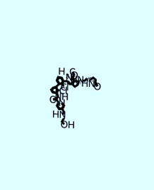 COc1nc(-c2cccc(-c3cccc(NC(=O)c4ccc(CNCCO)cn4)c3Cl)c2Cl)cc2c1[C@@H](NCC[C@@H]1CCC(=O)N1)CC2